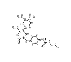 CCCCC(=O)Nc1ccc(CN2N=C(c3ccc(OC)c(OC)c3)C(CC)CC2=O)cc1